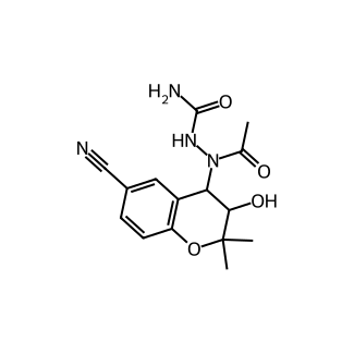 CC(=O)N(NC(N)=O)C1c2cc(C#N)ccc2OC(C)(C)C1O